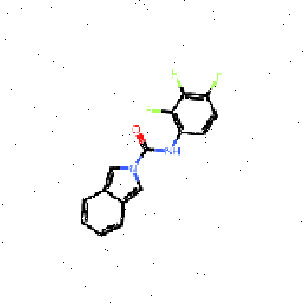 O=C(Nc1ccc(F)c(F)c1F)n1cc2ccccc2c1